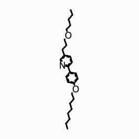 CCCCCCCCOc1ccc(-c2ccc(CCCOCCCCC)cn2)cc1